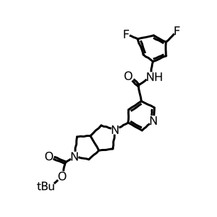 CC(C)(C)OC(=O)N1CC2CN(c3cncc(C(=O)Nc4cc(F)cc(F)c4)c3)CC2C1